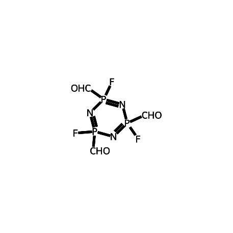 O=CP1(F)=NP(F)(C=O)=NP(F)(C=O)=N1